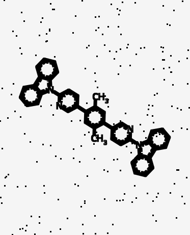 Cc1cc(-c2ccc(-n3c4ccccc4c4ccccc43)nc2)c(C)cc1-c1ccc(-n2c3ccccc3c3ccccc32)nc1